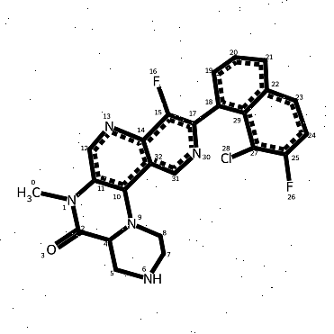 CN1C(=O)C2CNCCN2c2c1cnc1c(F)c(-c3cccc4ccc(F)c(Cl)c34)ncc21